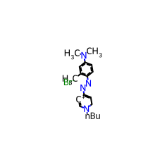 CCCCN1C=[C+]C(N=Nc2ccc(N(C)C)cc2C)=CC1.[Br-]